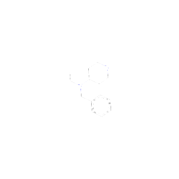 CCN(Cc1ccccc1)C1CC[N]CC1